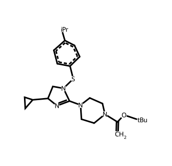 C=C(OC(C)(C)C)N1CCN(C2=NC(C3CC3)CN2Sc2ccc(C(C)C)cc2)CC1